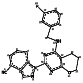 N#Cc1cccc2c1cnn2-c1nc(NCc2cccc(F)c2)c2c(n1)OCCC2